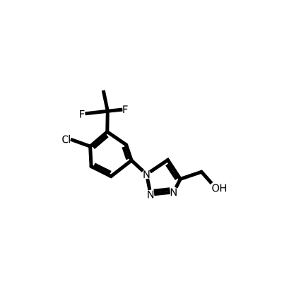 CC(F)(F)c1cc(-n2cc(CO)nn2)ccc1Cl